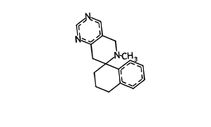 CN1Cc2cncnc2CC12CCCc1ccccc12